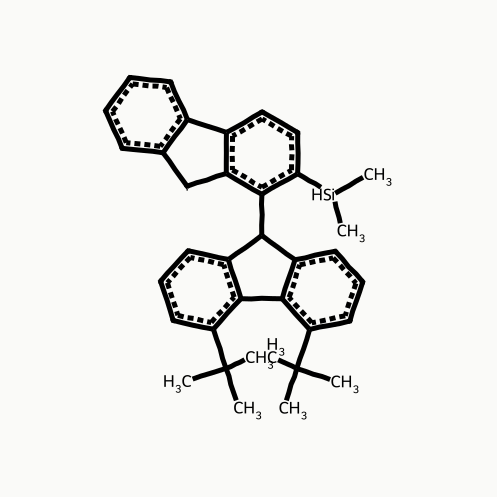 C[SiH](C)c1ccc2c(c1C1c3cccc(C(C)(C)C)c3-c3c1cccc3C(C)(C)C)[CH]c1ccccc1-2